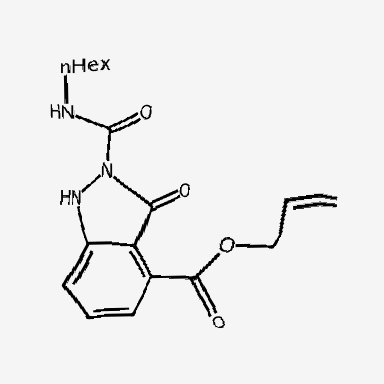 C=CCOC(=O)c1cccc2[nH]n(C(=O)NCCCCCC)c(=O)c12